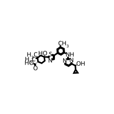 Cc1cc(Nc2nccc([C@@H](O)C3CC3)n2)cc(-c2cnc([C@@]3(O)CC[C@H](C(=O)O)C(C)(C)C3)s2)c1